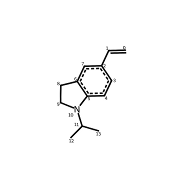 C=Cc1ccc2c(c1)CCN2C(C)C